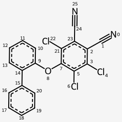 N#Cc1c(Cl)c(Cl)c(Oc2ccccc2-c2ccccc2)c(Cl)c1C#N